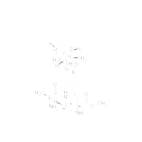 COC(=O)[C@]12CCN(C(=O)[C@H](C)N)[C@@H](CN1)[C@H]2CCCB1O[C@@H]2C[C@@H]3C[C@@H](C3(C)C)[C@]2(C)O1